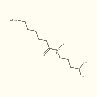 CCCCCCCCCCCCCCCC(=O)[NH+]([O-])CCCN(CC)CC